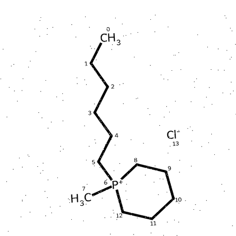 CCCCCC[P+]1(C)CCCCC1.[Cl-]